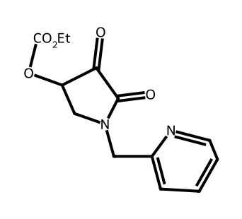 CCOC(=O)OC1CN(Cc2ccccn2)C(=O)C1=O